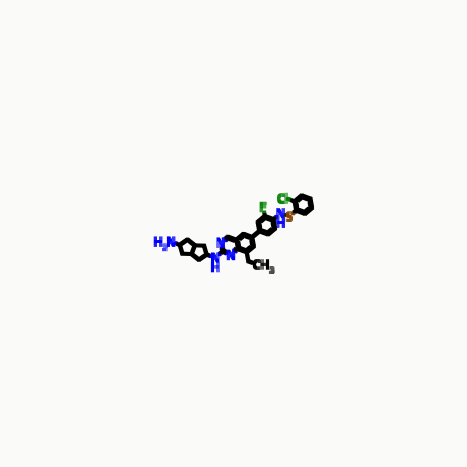 CCc1cc(-c2ccc(NSc3ccccc3Cl)c(F)c2)cc2cnc(NC3CC4CC(N)CC4C3)nc12